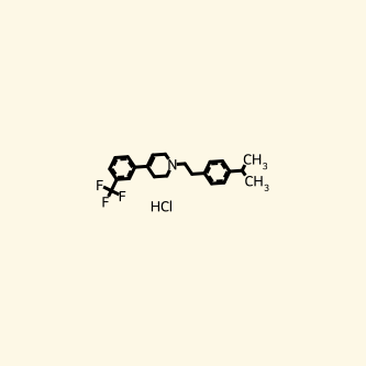 CC(C)c1ccc(CCN2CC=C(c3cccc(C(F)(F)F)c3)CC2)cc1.Cl